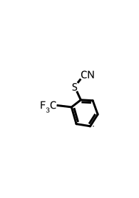 N#CSc1cc[c]cc1C(F)(F)F